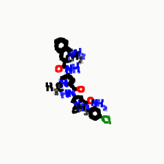 C=C(/C=c1/cccc/c1=C/N)C(=O)Nc1cc(C(=O)Nc2cc(C(=O)Nc3ccc(Cl)cc3N)n(C)c2)n(C)c1